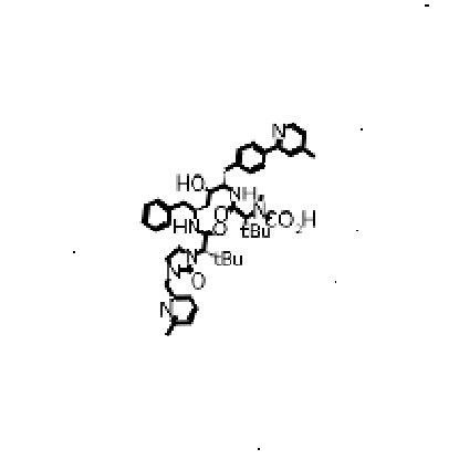 Cc1ccnc(-c2ccc(C[C@H](NC(=O)[C@@H](N(C)C(=O)O)C(C)(C)C)[C@H](O)C[C@H](Cc3ccccc3)NC(=O)[C@@H](N3CCN(Cc4cccc(C)n4)C3=O)C(C)(C)C)cc2)c1